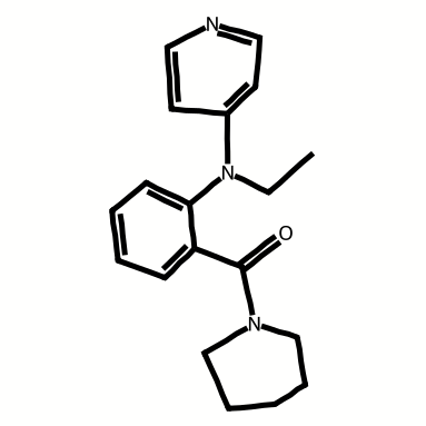 CCN(c1ccncc1)c1ccccc1C(=O)N1CCCCC1